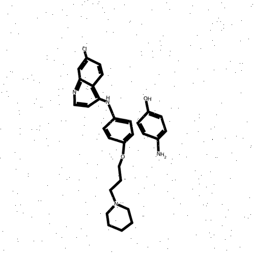 Clc1ccc2c(Nc3ccc(OCCCN4CCCCC4)cc3)ccnc2c1.Nc1ccc(O)cc1